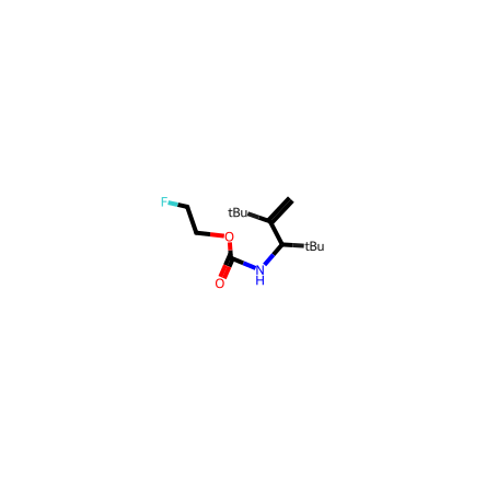 C=C(C(NC(=O)OCCF)C(C)(C)C)C(C)(C)C